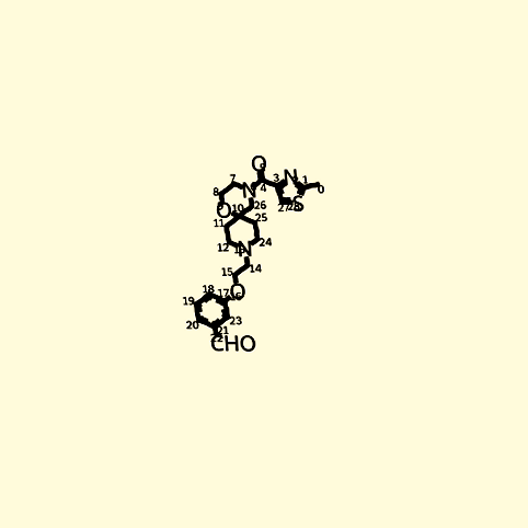 Cc1nc(C(=O)N2CCOC3(CCN(CCOc4cccc(C=O)c4)CC3)C2)cs1